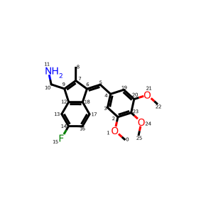 COc1cc(/C=C2/C(C)=C(CN)c3cc(F)ccc32)cc(OC)c1OC